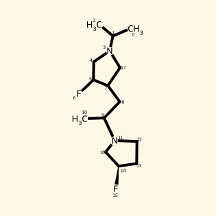 CC(C)N1CC(F)C(CC(C)N2CC[C@@H](F)C2)C1